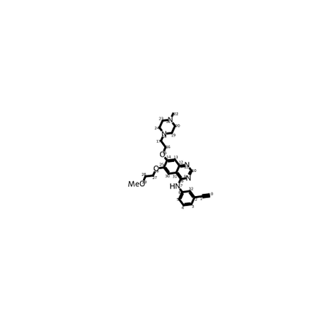 C#Cc1cccc(Nc2ncnc3cc(OCCN4CCN(C)CC4)c(OCCOC)cc23)c1